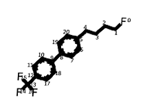 FCCC[CH]c1ccc(-c2ccc(C(F)(F)F)cc2)cc1